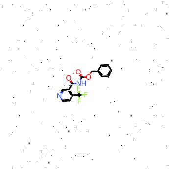 O=C(NC(=O)c1cnccc1C(F)(F)F)OCc1ccccc1